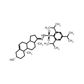 CC(C)c1cc(C(C)C)c(S(=O)(=O)N/N=C2\CCC3C4CC=C5C[C@@H](O)CC[C@]5(C)C4CC[C@]23C)c(C(C)C)c1